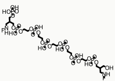 O=P(O)(O)OCC(CNF)COP(=O)(O)OCCOP(=O)(O)OCCOP(=O)(O)OCCOP(=O)(O)OCCOP(=O)(O)OCCOP(=O)(O)OCC(CO)CNF